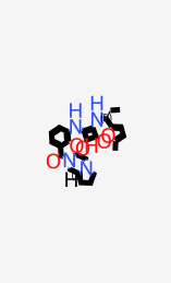 CC[C@@H](Nc1c(Nc2cccc(C(=O)N3CCN4CCC[C@H]4C3)c2O)c(=O)c1=O)c1ccc(C)o1